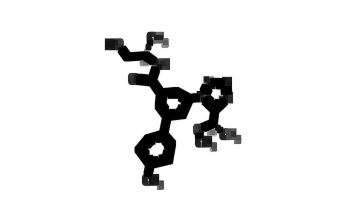 CO[C@@H](C)c1nnnn1-c1cc(C(=O)N[C@@H](C)CO)cc(-c2ccc(C)cc2)c1